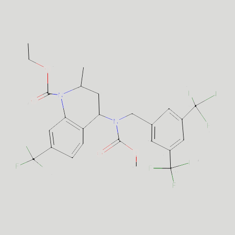 CCOC(=O)N1c2cc(C(F)(F)F)ccc2C(N(Cc2cc(C(F)(F)F)cc(C(F)(F)F)c2)C(=O)OC)CC1C